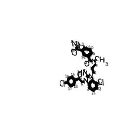 CN(CCCn1c(=N)n(CC(=O)c2ccc(Cl)cc2)c2cccc(Cl)c21)C(=O)c1cccc(C(N)=O)c1